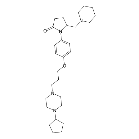 O=C1CCC(CN2CCCCC2)N1c1ccc(OCCCN2CCN(C3CCCC3)CC2)cc1